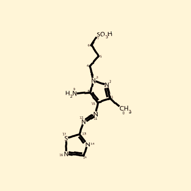 Cc1nn(CCCS(=O)(=O)O)c(N)c1N=Nc1ncns1